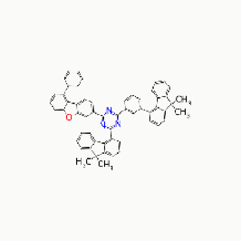 CC1(C)c2ccccc2-c2c(-c3cccc(-c4nc(-c5ccc6c(c5)oc5cccc(-c7ccccc7)c56)nc(-c5cccc6c5-c5ccccc5C6(C)C)n4)c3)cccc21